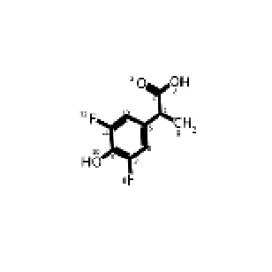 CC(C(=O)O)c1cc(F)c(O)c(F)c1